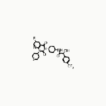 O=C(N[C@H]1CC[C@@H](n2c(=O)c3cc(F)cnc3n(C3CCSCC3)c2=O)CC1)C(O)c1ccc(C(F)(F)F)cc1